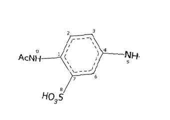 CC(=O)Nc1ccc([NH])cc1S(=O)(=O)O